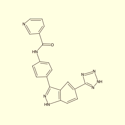 O=C(Nc1ccc(-c2n[nH]c3ccc(-c4nn[nH]n4)cc23)cc1)c1cccnc1